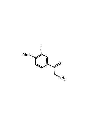 BCC(=O)c1ccc(SC)c(F)c1